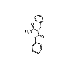 NC(=O)N(Cc1ccccc1)C(=O)[CH]c1ccccc1